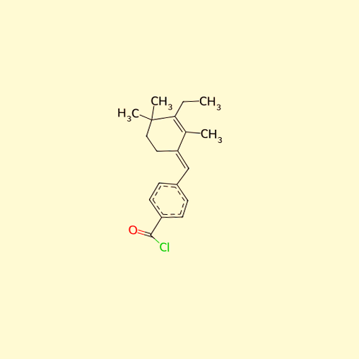 CCC1=C(C)/C(=C/c2ccc(C(=O)Cl)cc2)CCC1(C)C